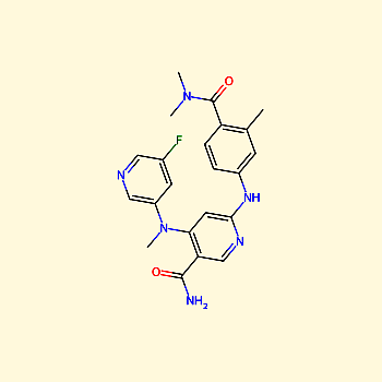 Cc1cc(Nc2cc(N(C)c3cncc(F)c3)c(C(N)=O)cn2)ccc1C(=O)N(C)C